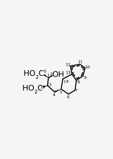 O=C(O)[C@@H](O)[C@@H](C[C@@H]1CCc2ccccc2C1)C(=O)O